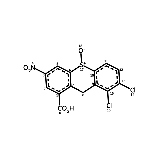 O=C(O)c1cc([N+](=O)[O-])cc2c1Cc1c(ccc(Cl)c1Cl)[S+]2[O-]